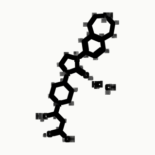 CC(CC(=O)O)N1CCC(N2CCN(c3ccc4c(c3)CCNCC4)C2=O)CC1.Cl.Cl